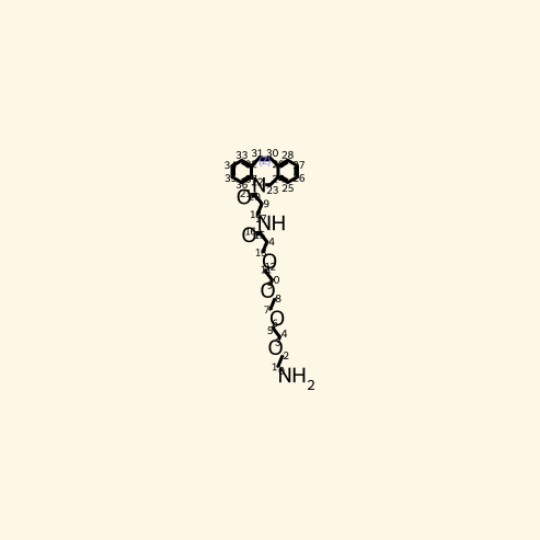 NCCOCCOCCOCCOCCC(=O)NCCC(=O)N1Cc2ccccc2/C=C\c2ccccc21